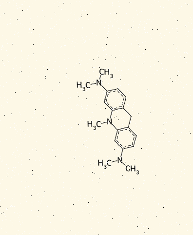 CN(C)c1ccc2c(c1)N(C)c1cc(N(C)C)ccc1C2